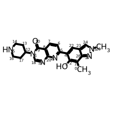 Cc1c(O)c(-c2ccc3c(=O)n(C4CCNCC4)cnc3n2)cc2cn(C)nc12